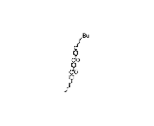 C=CCCCC[C@H]1CC[C@H](OC(=O)c2ccc(OC(=O)c3ccc(OCCCCC[C@@H](C)CC)cc3)cc2)CC1